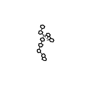 c1ccc(-c2cccc(N(c3ccc(-c4ccc(-c5cccc(-c6ccc7ccccc7c6)c5)cc4)cc3)c3cccc4c3sc3ccccc34)c2)cc1